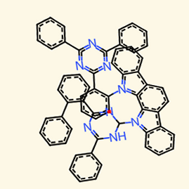 c1ccc(C2=NC(c3ccccc3-c3ccccc3)=NC(n3c4ccccc4c4ccc5c6ccccc6n(-c6ccccc6-c6nc(-c7ccccc7)nc(-c7ccccc7)n6)c5c43)N2)cc1